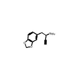 C#CC(Cc1ccc2c(c1)OCO2)NC